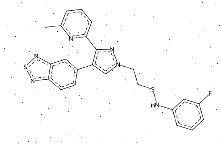 Cc1cccc(-c2nn(CCSNc3cccc(F)c3)cc2-c2ccc3nsnc3c2)n1